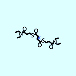 CCN(CC)C(=O)CCSC(=O)/C=C/C(=O)SCCC(=O)N(CC)CC